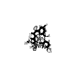 Cc1cc([C@@H](C)Nc2ccc(Cl)nc2C(=O)NS(C)(=O)=O)c2oc(-c3ccn(C)c3)c(C)c(=O)c2c1